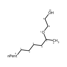 CCCCCCCCCC(C)OCCO